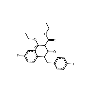 CCOC(=O)C(C(=O)OCC)C(=O)C(Cc1ccc(F)cc1)c1ccc(F)cn1